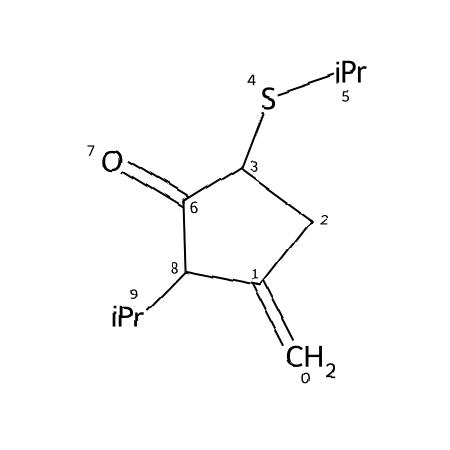 C=C1CC(SC(C)C)C(=O)C1C(C)C